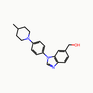 CC1CCN(c2ccc(-n3cnc4ccc(CO)cc43)cc2)CC1